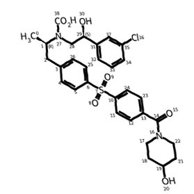 C[C@H](Cc1ccc(S(=O)(=O)c2ccc(C(=O)N3CCC(O)CC3)cc2)cc1)N(C[C@@H](O)c1cccc(Cl)c1)C(=O)O